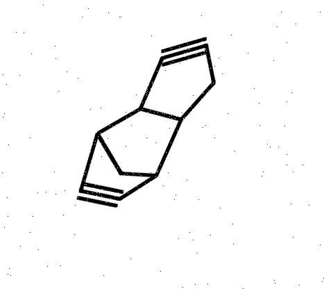 C1#CC2C3C#CC(C3)C2C1